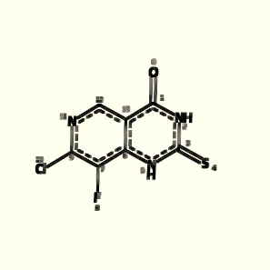 O=c1[nH]c(=S)[nH]c2c(F)c(Cl)ncc12